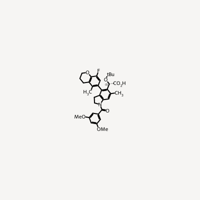 COc1cc(OC)cc(C(=O)N2CCc3c2cc(C)c([C@H](OC(C)(C)C)C(=O)O)c3-c2cc(F)c3c(c2C)CCCO3)c1